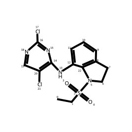 CCS(=O)(=O)N1CCc2cccc(Nc3nc(Cl)ncc3Cl)c21